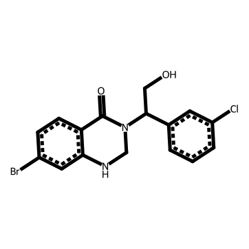 O=C1c2ccc(Br)cc2NCN1C(CO)c1cccc(Cl)c1